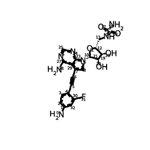 Nc1ccc(C#Cc2cn([C@@H]3O[C@H](CNS(N)(=O)=O)[C@@H](O)[C@H]3O)c3ncnc(N)c23)c(F)c1